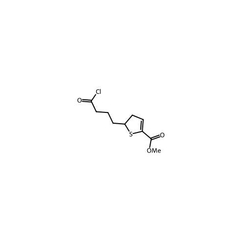 COC(=O)C1=CCC(CCCC(=O)Cl)S1